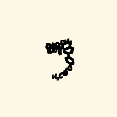 COCOc1ccc(-c2ccc3c(c2)C(NC(=O)O[C@H]2CN4CCC2CC4)C(C)(C)CC3)cc1